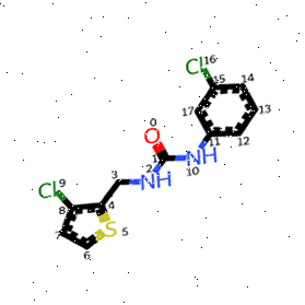 O=C(NCc1sccc1Cl)Nc1cccc(Cl)c1